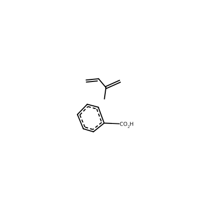 C=CC(=C)C.O=C(O)c1ccccc1